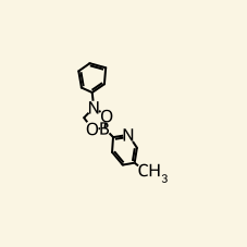 Cc1ccc(B2OCN(c3ccccc3)O2)nc1